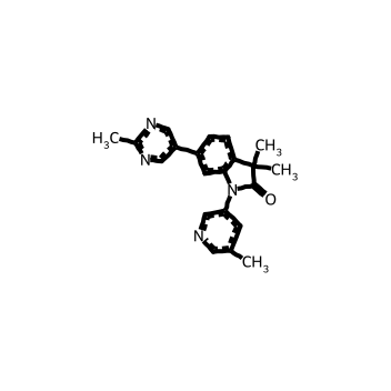 Cc1cncc(N2C(=O)C(C)(C)c3ccc(-c4cnc(C)nc4)cc32)c1